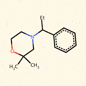 CCC(c1ccccc1)N1CCOC(C)(C)C1